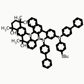 CC(C)(C)c1ccc(N(c2ccc(-c3ccccc3)cc2)c2ccc3c(c2)N(c2ccc(-c4ccccc4)cc2)B2c4cccc5c4N(c4cc6c(cc4C5(C)C)C(C)(C)CCC6(C)C)c4c2c-3cc2ccccc42)cc1